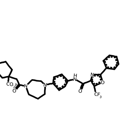 O=C(Nc1ccc(N2CCCN(C(=O)CC3(C(=O)O)CCCCC3)CC2)cc1)c1nc(-c2ccccc2)oc1C(F)(F)F